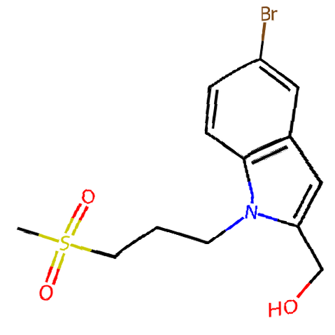 CS(=O)(=O)CCCn1c(CO)cc2cc(Br)ccc21